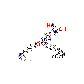 CCCCCCCC/C=C\CCCCCCCCOCC(CNC(=S)OCCN(CCO)CCO)OCCCCCCCC/C=C\CCCCCCCC